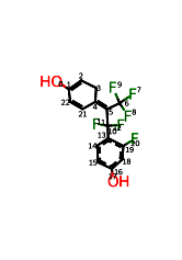 OC1=CCC(=C(C(F)(F)F)C(F)(F)c2ccc(O)cc2F)C=C1